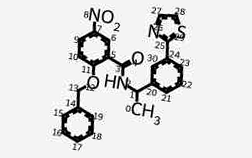 CC(NC(=O)c1cc([N+](=O)[O-])ccc1OCc1ccccc1)c1cccc(-c2nccs2)c1